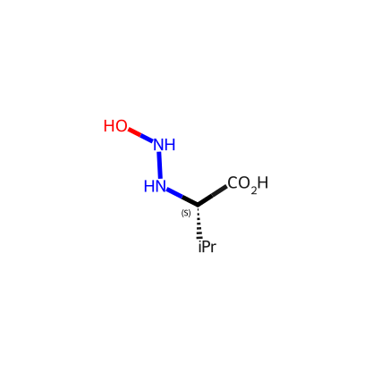 CC(C)[C@H](NNO)C(=O)O